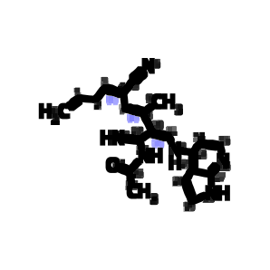 C=CC\C=C(C#N)/C=C(C)/C(=C/Nc1ccnc2[nH]ccc12)C(=N)NC(C)=O